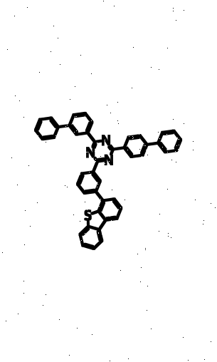 c1ccc(-c2ccc(-c3nc(-c4cccc(-c5ccccc5)c4)nc(-c4cccc(-c5cccc6c5sc5ccccc56)c4)n3)cc2)cc1